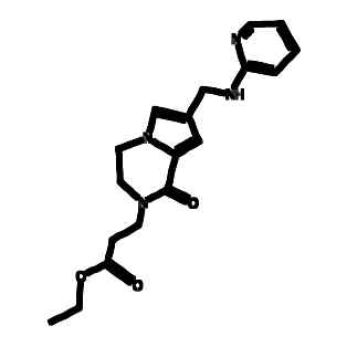 CCOC(=O)CCN1CCn2cc(CNc3ccccn3)cc2C1=O